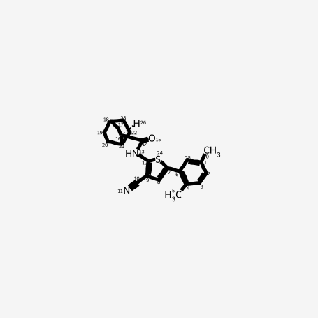 Cc1ccc(C)c(-c2cc(C#N)c(NC(=O)[C@@H]3CC4CCC3CC4)s2)c1